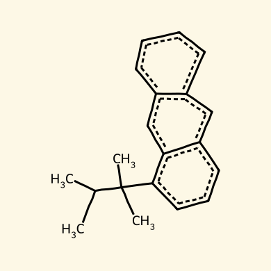 CC(C)C(C)(C)c1cccc2cc3ccccc3cc12